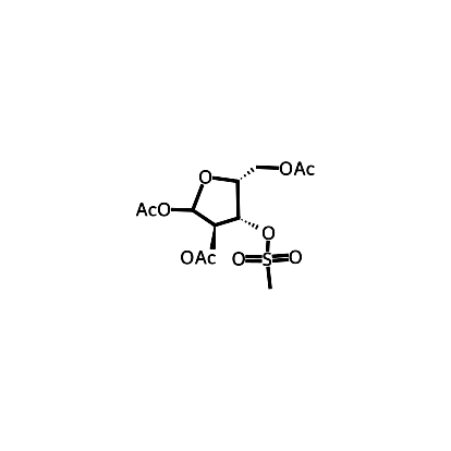 CC(=O)OC[C@H]1OC(OC(C)=O)[C@H](OC(C)=O)[C@H]1OS(C)(=O)=O